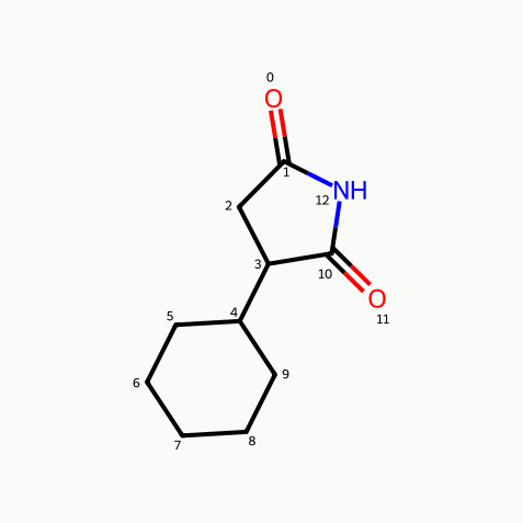 O=C1CC(C2CCCCC2)C(=O)N1